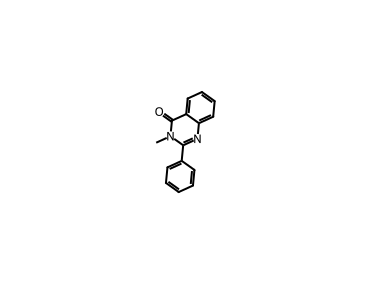 Cn1c(-c2ccccc2)nc2ccccc2c1=O